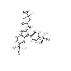 CC(C)(O)CC(=O)Nc1nc2ccc(C(F)(F)F)nc2n1-c1ccc(C(F)(F)F)cc1